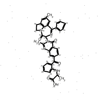 Cc1cc2c3c(c1)C(c1ccccc1)=NC(n1c(C)nc4cc(C(=O)c5ccccc5NC(C)C(=O)O)ccc4c1=O)C(=O)N3CC2